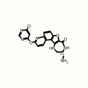 NC[C@@H]1CNc2c(oc3ccc4nc(Oc5cc(Cl)ncn5)ccc4c23)C(=O)N1